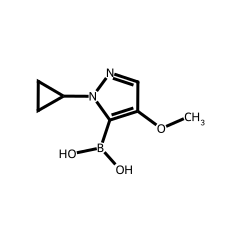 COc1cnn(C2CC2)c1B(O)O